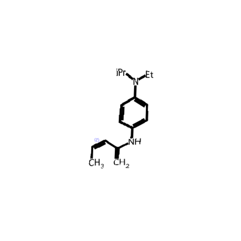 C=C(/C=C\C)Nc1ccc(N(CC)C(C)C)cc1